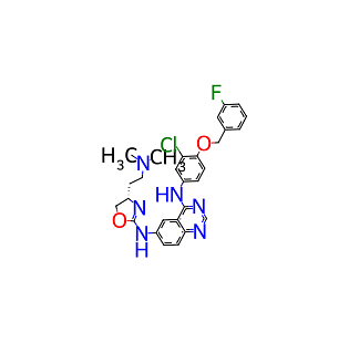 CN(C)CC[C@H]1COC(Nc2ccc3ncnc(Nc4ccc(OCc5cccc(F)c5)c(Cl)c4)c3c2)=N1